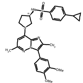 COc1ccc(-c2c(C)nc3c(N4CC[C@@H](NS(=O)(=O)c5ccc(C6CC6)cc5)C4)cc(C)nn23)cc1OC